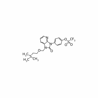 CS(C)(C)CCOCn1c(=O)n(-c2ccc(OS(=O)(=O)C(F)(F)F)cc2)c2ncccc21